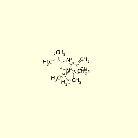 CC(C)C1=NC(C(C)C)C[N+]1(C(C)C)C(C)C